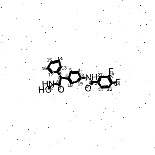 O=C(Nc1ccc(C(C(=O)NO)c2ccccc2)cc1)c1ccc(F)c(F)c1